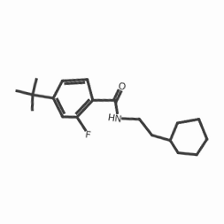 CC(C)(C)c1ccc(C(=O)NCCC2CCCCC2)c(F)c1